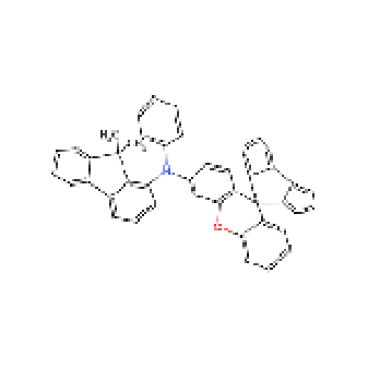 CC1(C)c2ccccc2-c2cccc(N(c3ccccc3)c3ccc4c(c3)Oc3ccccc3C43c4ccccc4-c4ccccc43)c21